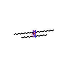 CCCCCCCCCCCCOC(=O)CCCCCCCCCCCC.CCCCCCCCNCCCCCCCC